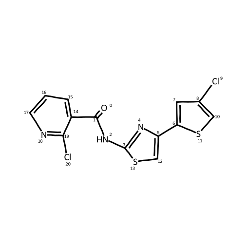 O=C(Nc1nc(-c2cc(Cl)cs2)cs1)c1cccnc1Cl